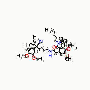 CCCCCN(C(=O)c1cc(OC)c(OC)cc1CCNCCCCC(C#N)(c1ccc(OC)c(OC)c1)C(C)C)C(C)(C)C